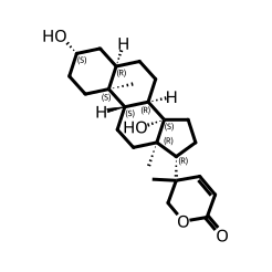 CC1([C@H]2CC[C@]3(O)[C@@H]4CC[C@@H]5C[C@@H](O)CC[C@]5(C)[C@H]4CC[C@]23C)C=CC(=O)OC1